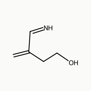 C=C(C=N)CCO